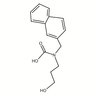 O=C(O)N(CCCO)Cc1ccc2ccccc2c1